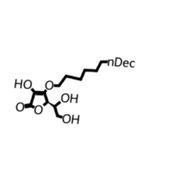 CCCCCCCCCCCCCCCCOC1=C(O)C(=O)O[C@@H]1C(O)CO